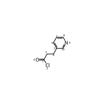 O=C(Cl)CCc1cccnc1